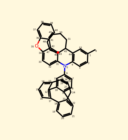 Cc1ccc(N(c2ccc3c(c2)-c2c4cccc2-c2cccc-3c2Cc2ccccc2-4)c2ccc3oc4ccccc4c3c2)c(C2CCCCCC2)c1